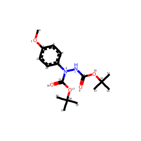 COc1ccc(N(NC(=O)OC(C)(C)C)C(=O)OC(C)(C)C)cc1